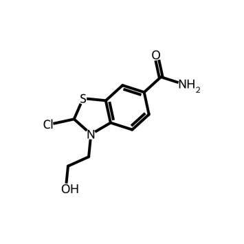 NC(=O)c1ccc2c(c1)SC(Cl)N2CCO